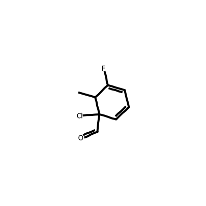 CC1C(F)=CC=CC1(Cl)C=O